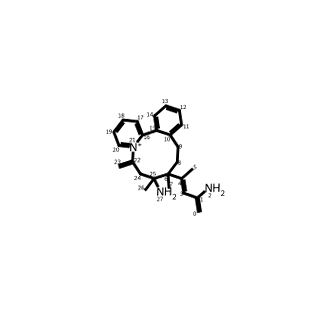 C=C(N)/C=C(\C)C1(C)CCc2ccccc2-c2cccc[n+]2C(=C)CC1(C)N